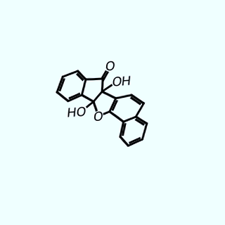 O=C1c2ccccc2C2(O)Oc3c(ccc4ccccc34)C12O